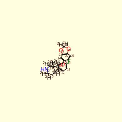 [2H]C1([2H])CC([2H])(c2ccc(F)cc2)[C@@]([2H])(C([2H])([2H])Oc2ccc3c(c2)OC([2H])([2H])O3)C([2H])([2H])N1